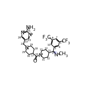 C/N=C(\c1cc(C(F)(F)F)cc(C(F)(F)F)c1)C1CCN(C(=O)C2CCN(Cc3cnc(N)nc3)CC2)CC1